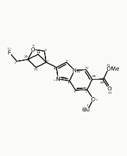 CCC(C)Oc1cc2nc(C34COC(CF)(C3)C4)cn2cc1C(=O)OC